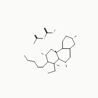 CCCCNC(=N)NC(=N)N.C[C@H](CCC(=O)O)[C@H]1CC[C@H]2[C@@H]3[C@H](O)C[C@@H]4C[C@H](O)CC[C@]4(C)[C@H]3C[C@H](O)[C@]12C.Cl